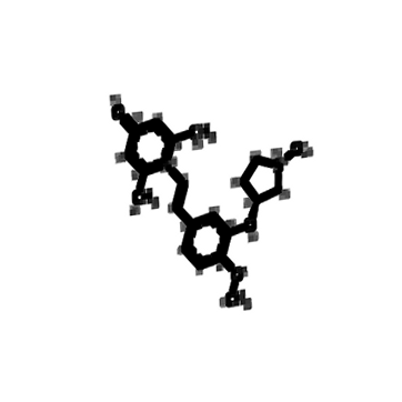 COc1ccc(/C=C/n2c(C)cc(=O)cc2C)cc1O[C@H]1CC[S+]([O-])C1